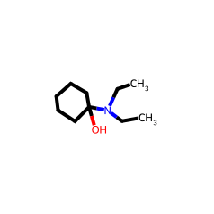 CCN(CC)C1(O)CCCCC1